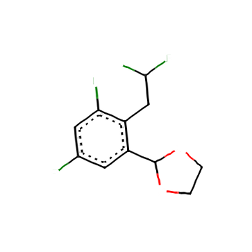 Fc1cc(F)c(CC(F)F)c(C2OCCO2)c1